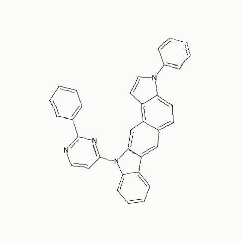 c1ccc(-c2nccc(-n3c4ccccc4c4cc5ccc6c(ccn6-c6ccccc6)c5cc43)n2)cc1